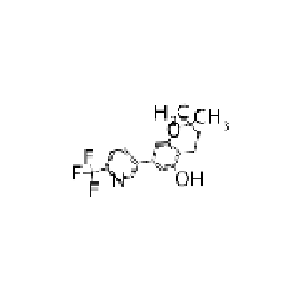 CC1(C)CCc2c(O)cc(-c3ccc(C(F)(F)F)nc3)cc2O1